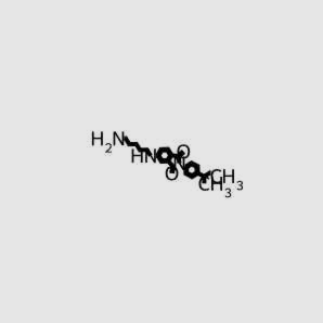 CCC(C)c1ccc(N2C(=O)c3ccc(NCCCCCN)cc3C2=O)cc1